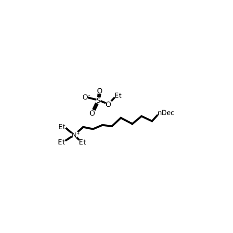 CCCCCCCCCCCCCCCCCC[N+](CC)(CC)CC.CCOS(=O)(=O)[O-]